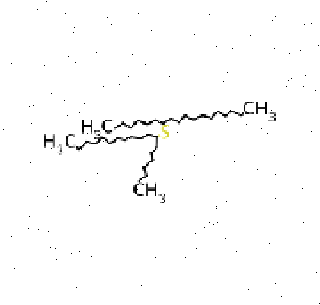 CCCCCCCCCCCC(CCCCCCC)SC(CCCCCCC)CCCCCCCCCCC